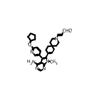 Cn1c(C2=CCC3(CC2)CCN(C=CC=O)CC3)c(-c2ccc(OC3CCCC3)nc2)c2c(N)ncnc21